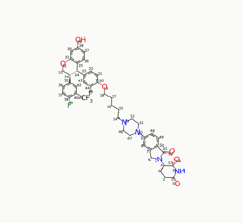 O=C1CCC(N2Cc3cc(N4CCN(CCCCCOc5ccc(C6c7ccc(O)cc7OC[C@@H]6c6ccc(F)c(C(F)(F)F)c6)cc5F)CC4)ccc3C2=O)C(=O)N1